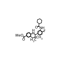 COC(=O)c1ccc2c(c1)CC(C)(C)C(c1ccc(F)c(NC(=O)C3CCCCC3)c1)N2